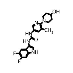 Cc1cc(NC(=O)Nc2c[nH]c3cc(F)c(F)cc23)cnc1N1CCC(O)CC1